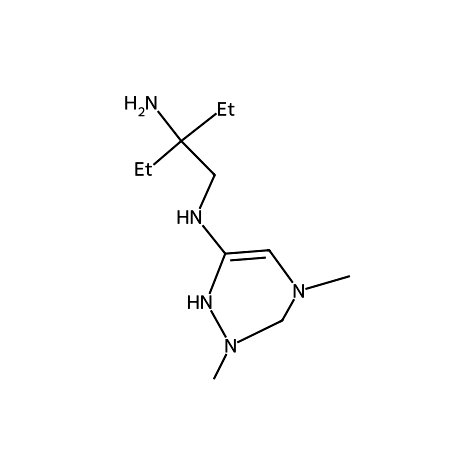 CCC(N)(CC)CNC1=CN(C)CN(C)N1